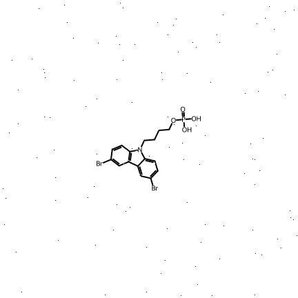 O=P(O)(O)OCCCCn1c2ccc(Br)cc2c2cc(Br)ccc21